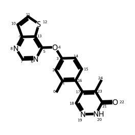 Cc1cc(Oc2ncnc3ccsc23)ccc1-c1cn[nH]c(=O)c1C